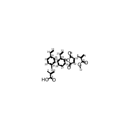 C=C(C)C(=O)O.C=C(C)C(=O)OC.C=Cc1ccc(C)cc1.C=Cc1ccccc1.O=C1C=CC(=O)O1